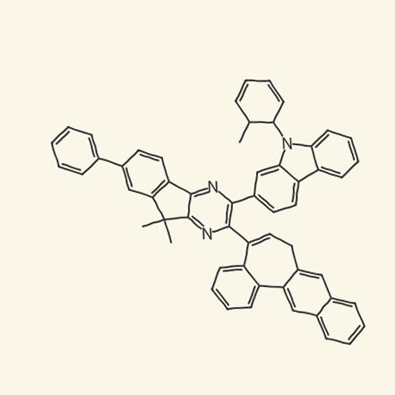 CC1C=CC=CC1n1c2ccccc2c2ccc(-c3nc4c(nc3C3=CCc5cc6ccccc6cc5-c5ccccc53)C(C)(C)c3cc(-c5ccccc5)ccc3-4)cc21